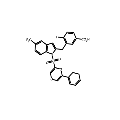 O=C(O)c1ccc(F)c(Cc2cc3cc(C(F)(F)F)ccc3n2S(=O)(=O)C2=COC=C(C3=CC=CCC3)O2)c1